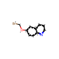 BrCOc1ccc2ncccc2c1